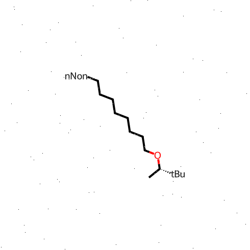 CCCCCCCCCCCCCCCCCO[C@@H](C)C(C)(C)C